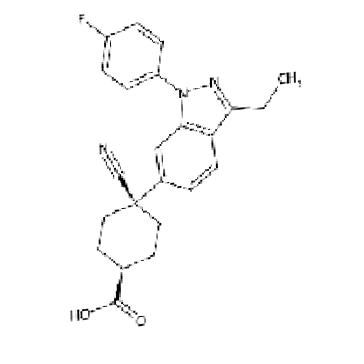 CCc1nn(-c2ccc(F)cc2)c2cc([C@]3(C#N)CC[C@@H](C(=O)O)CC3)ccc12